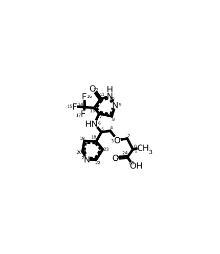 CC(COCC(Nc1cn[nH]c(=O)c1C(F)(F)F)c1ccncc1)C(=O)O